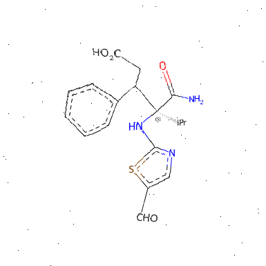 CC(C)[C@@](Nc1ncc(C=O)s1)(C(N)=O)C(CC(=O)O)c1ccccc1